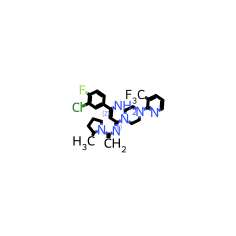 C=C(/N=C(\C=C(/N)c1ccc(F)c(Cl)c1)N1CCN(c2ncccc2C(F)(F)F)CC1)N1CCCC1C